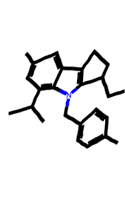 CCC1CCc2c1n(Cc1ccc(C)cc1)c1c(C(C)C)cc(C)cc21